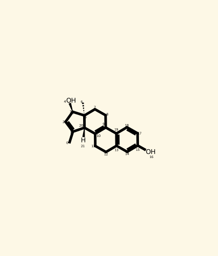 CC1=C[C@@H](O)[C@@]2(C)CCC3=C(CCc4cc(O)ccc43)[C@H]12